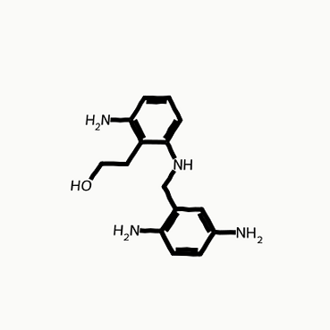 Nc1ccc(N)c(CNc2cccc(N)c2CCO)c1